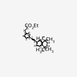 CCOC(=O)CCc1ccc(C#Cc2ccc3c(c2)C(C)(C)CCC3(C)C)s1